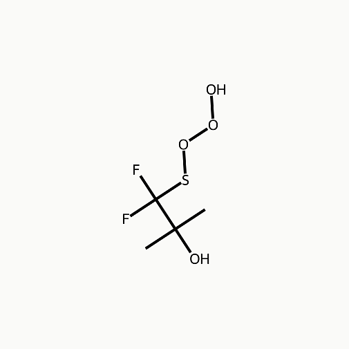 CC(C)(O)C(F)(F)SOOO